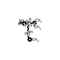 CCn1nc(C)cc1C(=O)Nc1nc2cc(C(N)=O)cnc2n1CCCCNC(=O)OCc1cccc(C)c1